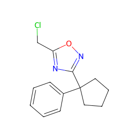 ClCc1nc(C2(c3ccccc3)CCCC2)no1